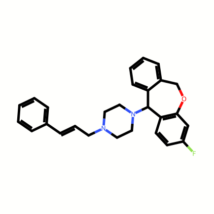 Fc1ccc2c(c1)OCc1ccccc1C2N1CCN(CC=Cc2ccccc2)CC1